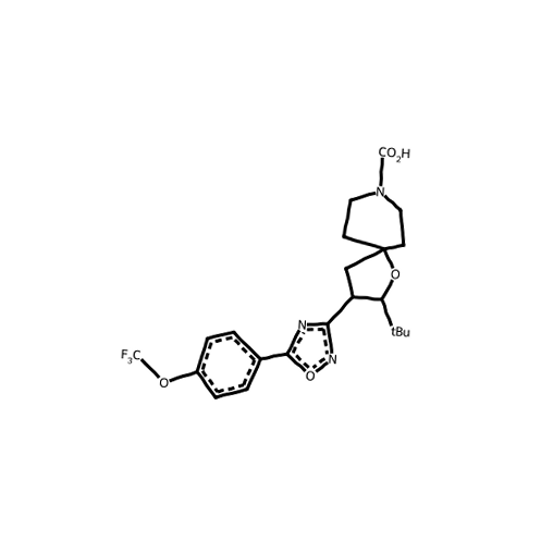 CC(C)(C)C1OC2(CCN(C(=O)O)CC2)CC1c1noc(-c2ccc(OC(F)(F)F)cc2)n1